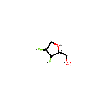 OCC1OCC(F)C1F